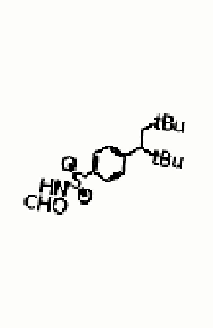 CC(C)(C)CC(c1ccc(S(=O)(=O)NC=O)cc1)C(C)(C)C